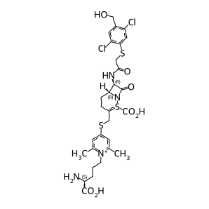 Cc1cc(SCC2=S(C(=O)O)N3C(=O)[C@H](NC(=O)CSc4cc(Cl)c(CO)cc4Cl)[C@H]3CC2)cc(C)[n+]1CCC[C@H](N)C(=O)O